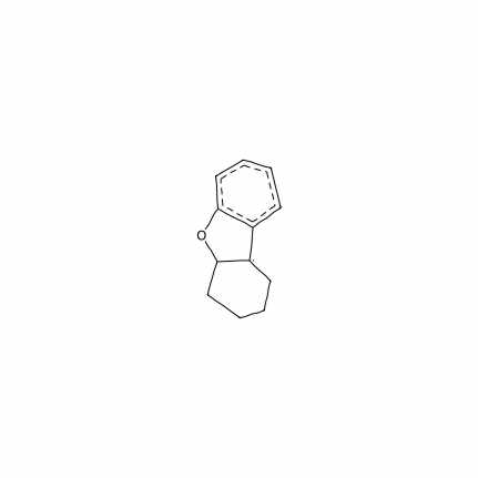 c1ccc2c(c1)OC1CCCC[C]21